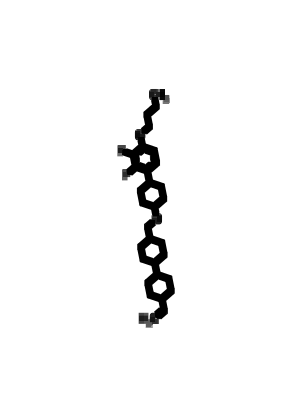 C=CC1CCC(C2CCC(COC3CCC(c4ccc(OCCCC)c(F)c4F)CC3)CC2)CC1